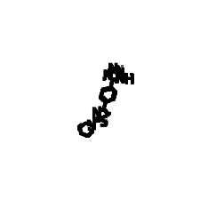 c1cc(C2CSC(N3CCCCC3)=N2)ccc1-c1nnn[nH]1